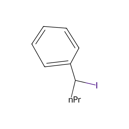 [CH2]CCC(I)c1ccccc1